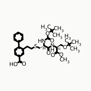 COC(=O)[C@H](COC(C)(C)C)NC(=O)[C@H](CSCCc1cc(C(=O)O)ccc1-c1ccccc1)NC(=O)OC(C)(C)C